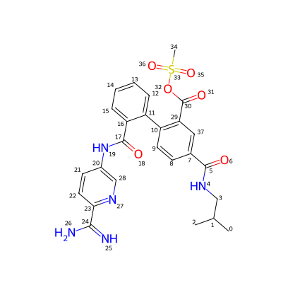 CC(C)CNC(=O)c1ccc(-c2ccccc2C(=O)Nc2ccc(C(=N)N)nc2)c(C(=O)OS(C)(=O)=O)c1